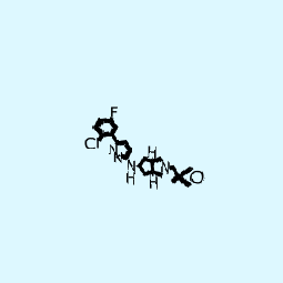 CC1(CN2C[C@H]3C[C@H](Nc4ccc(-c5cc(F)ccc5Cl)nn4)C[C@H]3C2)COC1